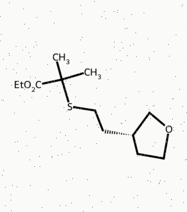 CCOC(=O)C(C)(C)SCC[C@H]1CCOC1